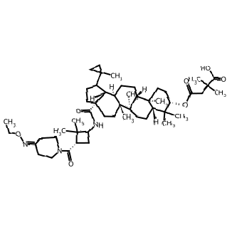 CCON=C1CCN(C(=O)[C@H]2CC(NC(=O)[C@]34CCC(C5(C)CC5)[C@@H]3[C@H]3CC[C@@H]5[C@@]6(C)CC[C@H](OC(=O)CC(C)(C)C(=O)O)C(C)(C)[C@@H]6CC[C@@]5(C)[C@]3(C)CC4)C2(C)C)CC1